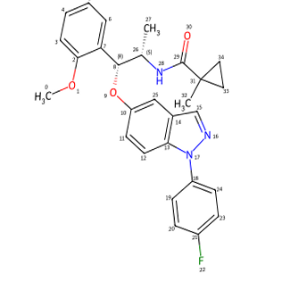 COc1ccccc1[C@@H](Oc1ccc2c(cnn2-c2ccc(F)cc2)c1)[C@H](C)NC(=O)C1(C)CC1